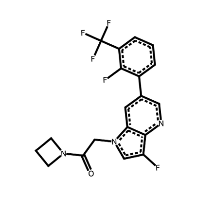 O=C(Cn1cc(F)c2ncc(-c3cccc(C(F)(F)F)c3F)cc21)N1CCC1